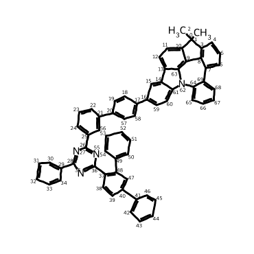 CC1(C)c2cccc3c2-c2c1ccc1c4cc(-c5ccc(-c6cccc(-c7nc(-c8ccccc8)nc(-c8ccc(-c9ccccc9)cc8-c8ccccc8)n7)c6)cc5)ccc4n(c21)-c1ccccc1-3